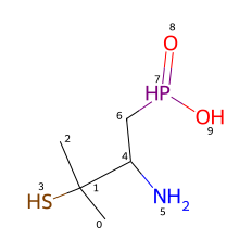 CC(C)(S)C(N)C[PH](=O)O